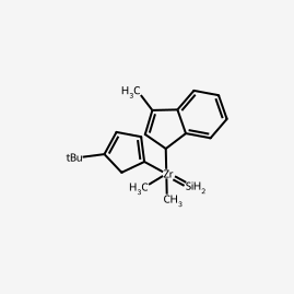 CC1=C[CH]([Zr]([CH3])([CH3])(=[SiH2])[C]2=CC=C(C(C)(C)C)C2)c2ccccc21